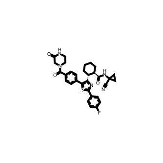 N#CC1(NC(=O)[C@@H]2CCCC[C@H]2c2nc(-c3ccc(F)cc3)sc2-c2ccc(C(=O)N3CCNC(=O)C3)cc2)CC1